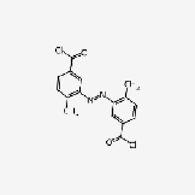 Cc1ccc(C(=O)Cl)cc1N=Nc1cc(C(=O)Cl)ccc1C